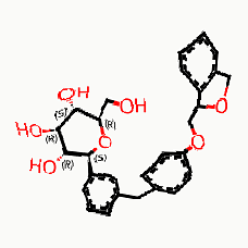 OC[C@H]1O[C@@H](c2cccc(Cc3ccc(OCC4OCc5ccccc54)cc3)c2)[C@H](O)[C@@H](O)[C@@H]1O